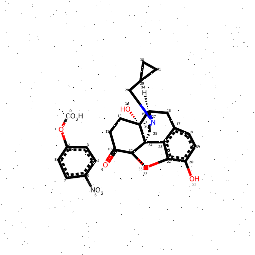 O=C(O)Oc1ccc([N+](=O)[O-])cc1.O=C1CC[C@@]2(O)[C@H]3Cc4ccc(O)c5c4[C@@]2(CCN3CC2CC2)[C@H]1O5